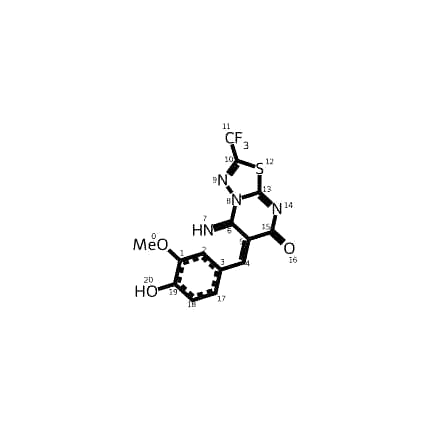 COc1cc(C=C2C(=N)N3N=C(C(F)(F)F)SC3=NC2=O)ccc1O